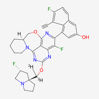 [2H]C([2H])(Oc1nc2c3c(nc(-c4cc(O)cc5ccc(F)c(C#C)c45)c(F)c3n1)OC[C@@H]1CCCCN21)[C@@]12CCCN1C[C@H](F)C2